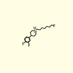 FCCCCCCC[SiH]1CCC(c2ccc(F)c(F)c2)CC1